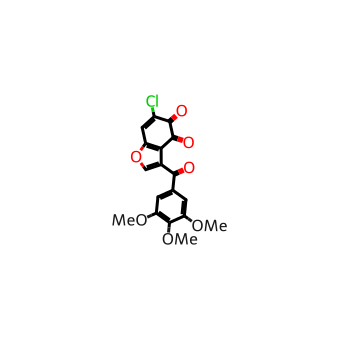 COc1cc(C(=O)c2coc3c2C(=O)C(=O)C(Cl)=C3)cc(OC)c1OC